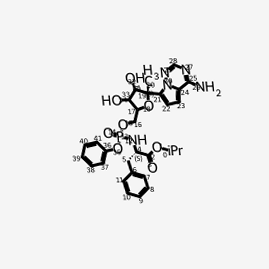 CC(C)OC(=O)[C@H](Cc1ccccc1)NP(=O)(OCC1O[C@@](C)(c2ccc3c(N)ncnn23)[C@H](O)C1O)Oc1ccccc1